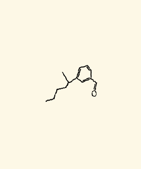 CCCCC(C)c1cccc(C=O)c1